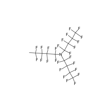 CC(F)(F)C(F)(F)C(F)(F)C(F)(F)N(C(F)(F)C(F)(F)C(F)(F)C(F)(F)F)C(F)(F)C(F)(F)C(F)(F)C(F)(F)F